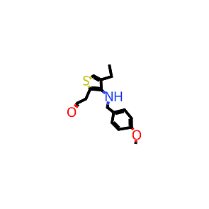 CCc1csc(CC=O)c1NCc1ccc(OC)cc1